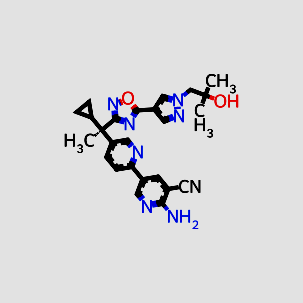 CC(C)(O)Cn1cc(-c2nc([C@@](C)(c3ccc(-c4cnc(N)c(C#N)c4)nc3)C3CC3)no2)cn1